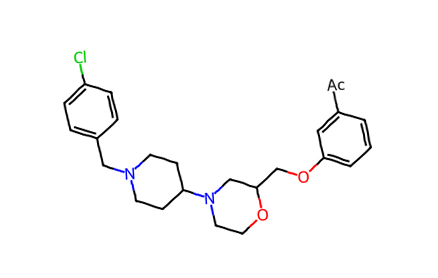 CC(=O)c1cccc(OCC2CN(C3CCN(Cc4ccc(Cl)cc4)CC3)CCO2)c1